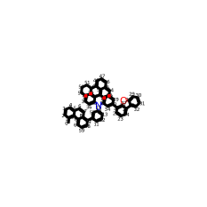 Cc1cccc2ccc3c(-c4cccc(N(c5cccc(-c6cccc7c6oc6ccccc67)c5)c5ccccc5-c5cccc6cccc(C7CCCCC7)c56)c4)cccc3c12